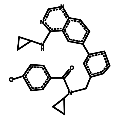 O=C(c1ccc(Cl)cc1)N(Cc1cccc(-c2ccc3ncnc(NC4CC4)c3c2)c1)C1CC1